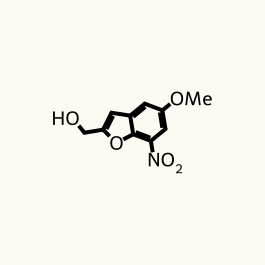 COc1cc([N+](=O)[O-])c2oc(CO)cc2c1